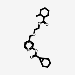 CC1CCCCC1C(=O)OCCOCc1ccnc(OC(=O)C2C3CCCCC32)c1